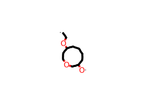 [CH2]COC1CCCCC([O])COCC1